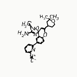 [C-]#[N+]c1cccc(-c2ccc3c(c2)C2(CC(C4CCOC(C)(C)C4)O3)N=C(N)N(C)O2)n1